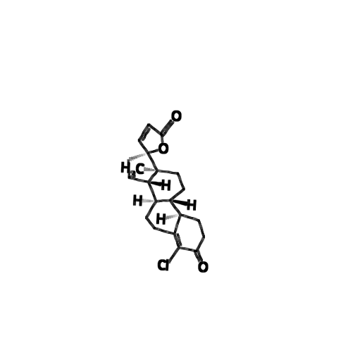 C[C@]12CC[C@H]3[C@@H](CCC4=C(Cl)C(=O)CC[C@@H]43)[C@@H]1CC[C@@]21C=CC(=O)O1